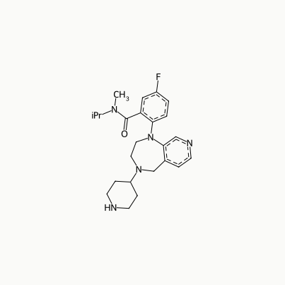 CC(C)N(C)C(=O)c1cc(F)ccc1N1CCN(C2CCNCC2)Cc2ccncc21